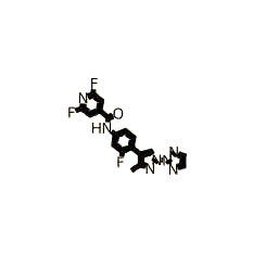 Cc1nn(-n2nccn2)cc1-c1ccc(NC(=O)c2cc(F)nc(F)c2)cc1F